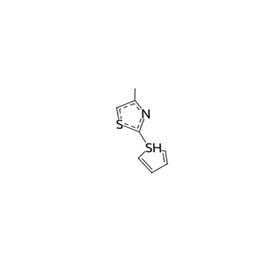 Cc1csc([SH]2C=CC=C2)n1